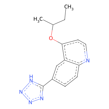 CCC(C)Oc1ccnc2ccc(-c3nnn[nH]3)cc12